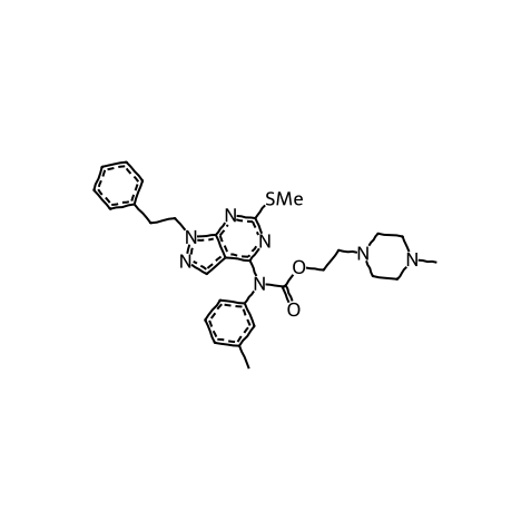 CSc1nc(N(C(=O)OCCN2CCN(C)CC2)c2cccc(C)c2)c2cnn(CCc3ccccc3)c2n1